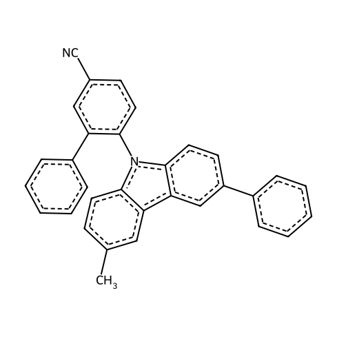 Cc1ccc2c(c1)c1cc(-c3ccccc3)ccc1n2-c1ccc(C#N)cc1-c1ccccc1